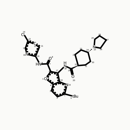 CC(C)(C)c1ccc2oc(C(=O)Nc3ccc(Cl)cn3)c(NC(=O)[C@H]3CC[C@H](N4CCCC4)CC3)c2n1